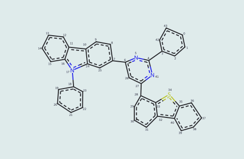 c1ccc(-c2nc(-c3ccc4c5ccccc5n(-c5ccccc5)c4c3)cc(-c3cccc4c3sc3ccccc34)n2)cc1